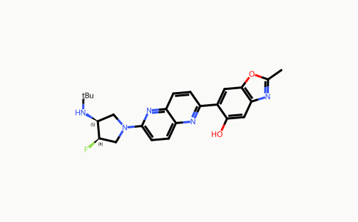 Cc1nc2cc(O)c(-c3ccc4nc(N5C[C@@H](F)[C@@H](NC(C)(C)C)C5)ccc4n3)cc2o1